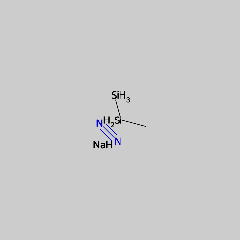 C[SiH2][SiH3].N#N.[NaH]